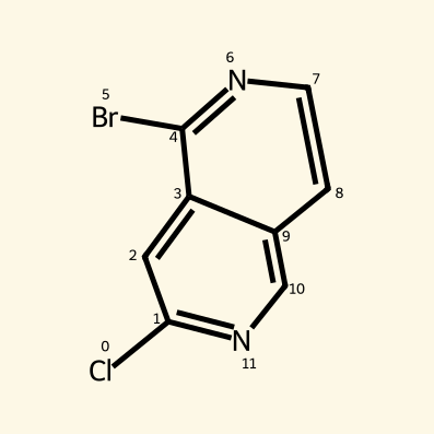 Clc1cc2c(Br)nccc2cn1